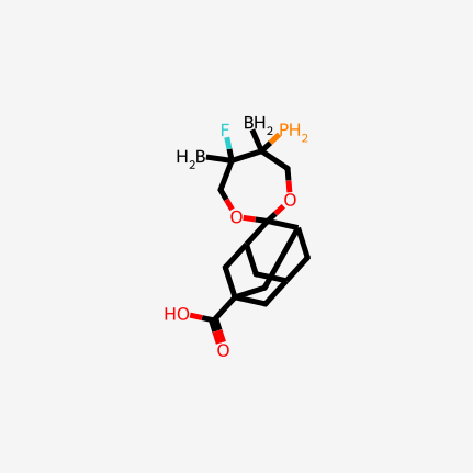 BC1(F)COC2(OCC1(B)P)C1CC3CC2CC(C(=O)O)(C3)C1